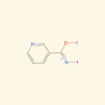 I/N=C(\OI)c1cccnc1